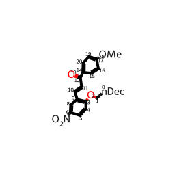 CCCCCCCCCCCOc1ccc([N+](=O)[O-])cc1/C=C/C(=O)c1ccc(OC)cc1